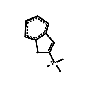 [CH3][Sn]([CH3])([CH3])[C]1=Cc2ccccc2[CH]1